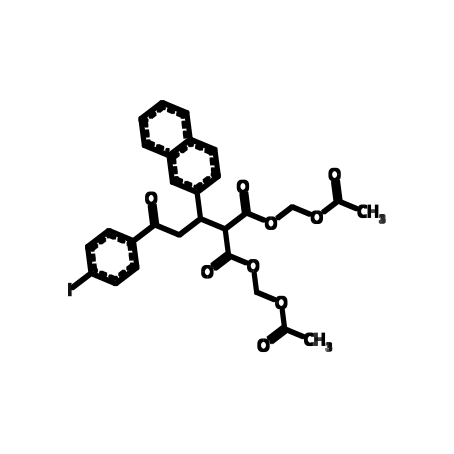 CC(=O)OCOC(=O)C(C(=O)OCOC(C)=O)C(CC(=O)c1ccc(I)cc1)c1ccc2ccccc2c1